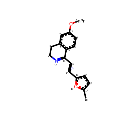 CCCOc1ccc2c(c1)CCN=C2/C=C/c1ccc(C)o1